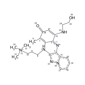 CC1=C/C(=N\c2c(NCCC[N+](C)(C)C)nn3ccccc23)C(NCCO)=CC1=O